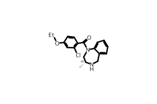 CCOc1ccc(C(=O)N2C[C@@H](C)NCc3ccccc32)c(Cl)c1